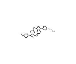 CCCCCc1ccc(-c2ccc3oc4ccc5c(-c6ccc(CC)cc6)ccc6oc7ccc2c3c7-c4c65)cc1